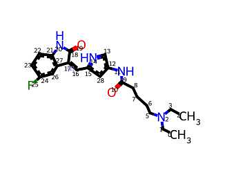 CCN(CC)CCCCC(=O)Nc1c[nH]c(/C=C2\C(=O)Nc3ccc(F)cc32)c1